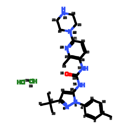 Cc1ccc(-n2nc(C(C)(C)C)cc2NC(=O)Nc2ccc(N3CCNCC3)nc2C)cc1.Cl.Cl